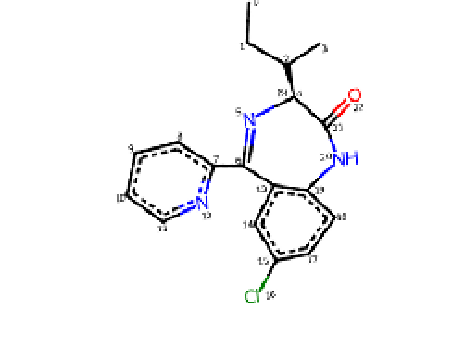 CCC(C)[C@@H]1N=C(c2ccccn2)c2cc(Cl)ccc2NC1=O